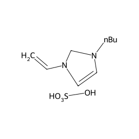 C=CN1C=CN(CCCC)C1.O=S(=O)(O)O